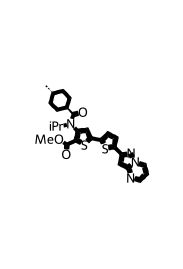 COC(=O)c1sc(-c2ccc(-c3cc4ncccn4n3)s2)cc1N(C(=O)[C@H]1CC[C@H](C)CC1)C(C)C